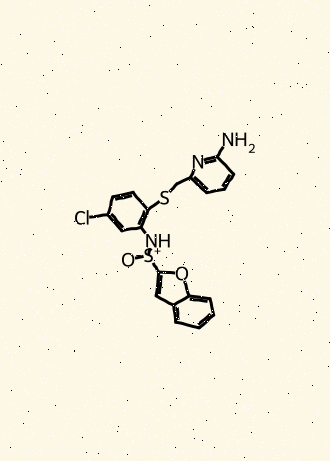 Nc1cccc(CSc2ccc(Cl)cc2N[S+]([O-])c2cc3ccccc3o2)n1